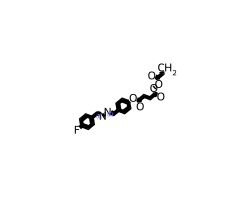 C=CC(=O)OOC(=O)CCC(=O)Oc1ccc(/C=N/N=C/c2ccc(F)cc2)cc1